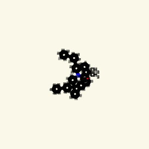 CC1(C)c2ccccc2-c2c(N(c3ccc(-c4cccc(-c5ccccc5)c4)cc3)c3cccc(C4(c5ccc(-c6ccccc6)cc5)c5ccccc5-c5cc6ccccc6cc54)c3)cccc21